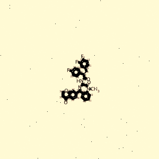 CN1C(=O)C(NC(=O)[C@H](Cc2ccc(F)c(F)c2)c2ccc(F)cc2)N=C(c2ccc3c(=O)ccoc3c2)c2ccccc21